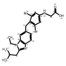 CCn1c(CC(C)C)nc2ccc(Cc3c(Br)cc(NCC(=O)O)cc3Br)cc21